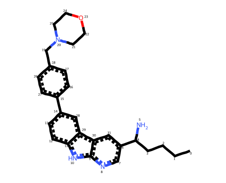 CCCCC(N)c1cnc2[nH]c3ccc(-c4ccc(CN5CCOCC5)cc4)cc3c2c1